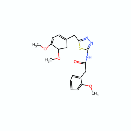 COC1=CC=C(Cc2nnc(NC(=O)Cc3ccccc3OC)s2)CC1OC